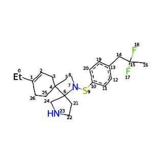 CCC1=CCC(C)(C2(N(C)Sc3ccc(CC(C)(F)F)cc3)CCNC2)CC1